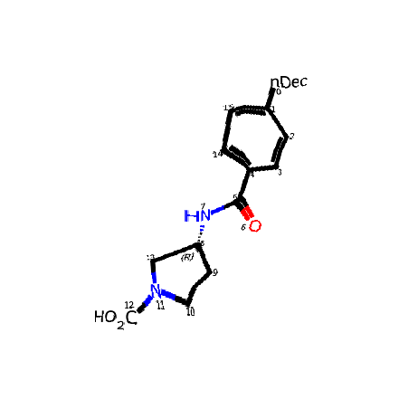 CCCCCCCCCCc1ccc(C(=O)N[C@@H]2CCN(C(=O)O)C2)cc1